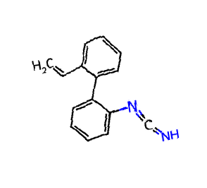 C=Cc1ccccc1-c1ccccc1N=C=N